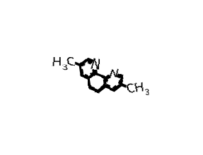 Cc1cnc2c(c1)CCc1cc(C)cnc1-2